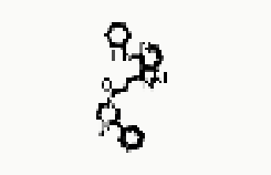 CN1CCN(C(=O)CCc2n[nH]c3ccnc(NC4CCCCC4)c23)CC1c1ccccc1